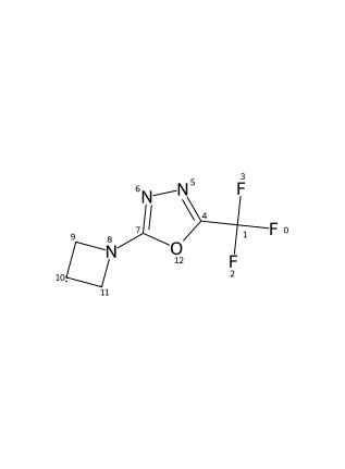 FC(F)(F)c1nnc(N2C[CH]C2)o1